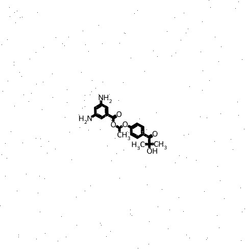 CC(OC(=O)c1cc(N)cc(N)c1)Oc1ccc(C(=O)C(C)(C)O)cc1